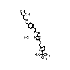 CC(C)(C)c1cnc(CSc2cnc(NC(=O)Cc3ccc(CNCC(O)CO)cc3)s2)o1.Cl